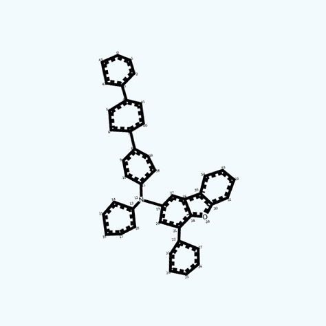 c1ccc(-c2ccc(-c3ccc(N(c4ccccc4)c4cc(-c5ccccc5)c5oc6ccccc6c5c4)cc3)cc2)cc1